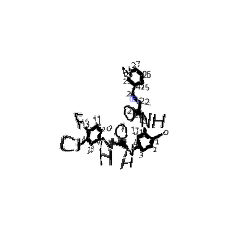 Cc1ccc(NC(=O)Nc2ccc(F)c(Cl)c2)cc1NC(=O)/C=C/c1cccnc1